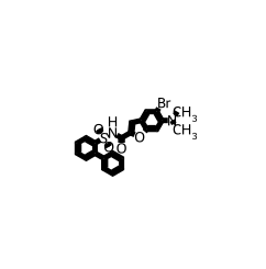 CN(C)c1cc2oc(C(=O)NS(=O)(=O)c3ccccc3-c3ccccc3)cc2cc1Br